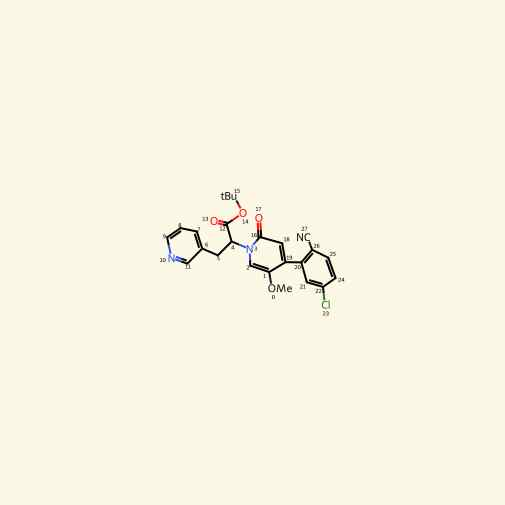 COc1cn(C(Cc2cccnc2)C(=O)OC(C)(C)C)c(=O)cc1-c1cc(Cl)ccc1C#N